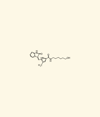 Cc1cc(C(=O)NCCCCCCO)[nH]c1/C=C1\C(=O)Nc2ccccc21